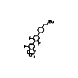 CCC(C)CCC1CCC(c2cc(F)c(-c3cc(F)c(OC(F)(F)F)c(F)c3)c(F)c2)CC1